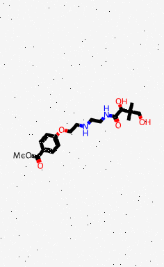 COC(=O)c1ccc(OCCNCCNC(=O)C(O)C(C)(C)CO)cc1